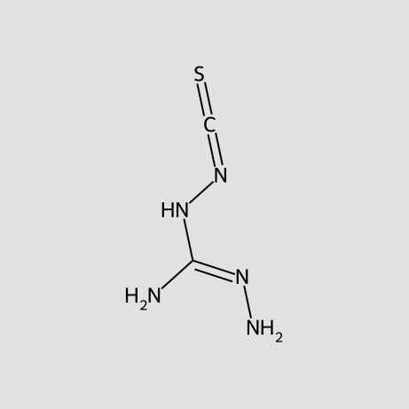 NN=C(N)NN=C=S